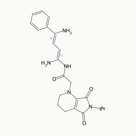 CC(C)N1C(=O)C2=C(C1=O)N(CC(=O)N/C(N)=C/C=C(\N)c1ccccc1)CCC2